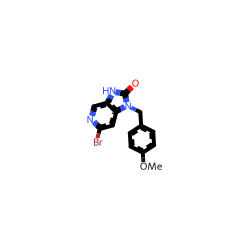 COc1ccc(Cn2c(=O)[nH]c3cnc(Br)cc32)cc1